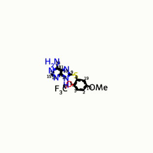 COc1ccc(OC(F)(F)F)c(Sc2nc3c(N)ncnc3[nH]2)c1